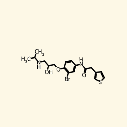 CC(C)NCC(O)COc1ccc(NC(=O)Cc2ccsc2)cc1Br